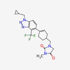 CN1C(=O)CN(CC2CC=C(c3ccc4c(nnn4CC4CC4)c3C(F)(F)F)CC2)C1=O